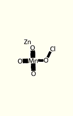 [O]=[Mn](=[O])(=[O])[O]Cl.[Zn]